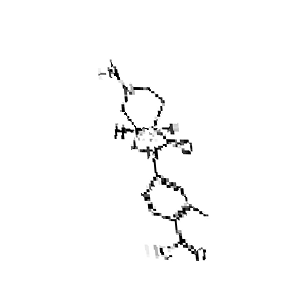 CNN1CC[C@]2(F)C(=O)N(c3ccc(C(=O)O)c(C)c3)C[C@@H]2C1